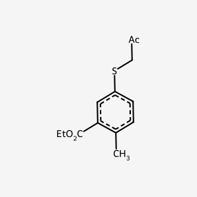 CCOC(=O)c1cc(SCC(C)=O)ccc1C